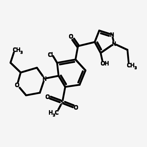 CCC1CN(c2c(S(C)(=O)=O)ccc(C(=O)c3cnn(CC)c3O)c2Cl)CCO1